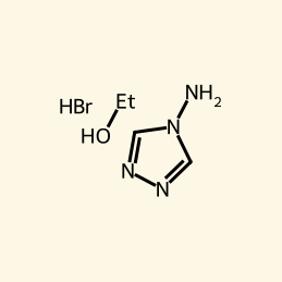 Br.CCO.Nn1cnnc1